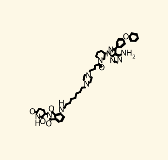 Nc1ncnc2c1c(-c1ccc(Oc3ccccc3)cc1)nn2C1CCCN(C(=O)CCCN2CCN(CCCCCCCCCNc3cccc4c3C(=O)N(C3CCC(=O)NC3=O)C4=O)CC2)C1